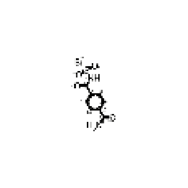 CCC(C)S(=O)(=O)NC(=O)c1ccc(C(N)=O)cc1